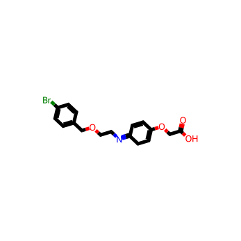 O=C(O)COC1=CCC(=NCCOCc2ccc(Br)cc2)C=C1